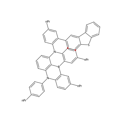 CCCc1ccc(N2c3ccc(CCC)cc3B3c4cc(CCC)ccc4N(c4ccc(CCC)cc4-c4ccc5sc6ccccc6c5c4)c4cccc2c43)cc1